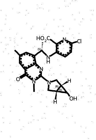 Cc1cc([C@H](C)Nc2ccc(Cl)nc2C(=O)O)c2nc(N3C[C@@H]4C(O)[C@@H]4C3)n(C)c(=O)c2c1